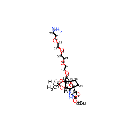 CC(C)(C)OC(=O)N[C@@H]1[C@H]2OC(C)(C)O[C@H]2[C@]2(COCCOCCOCCOCCN)CC[C@H]1O2